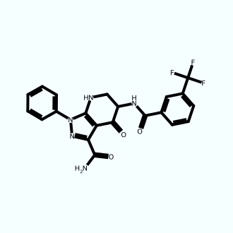 NC(=O)c1nn(-c2ccccc2)c2c1C(=O)C(NC(=O)c1cccc(C(F)(F)F)c1)CN2